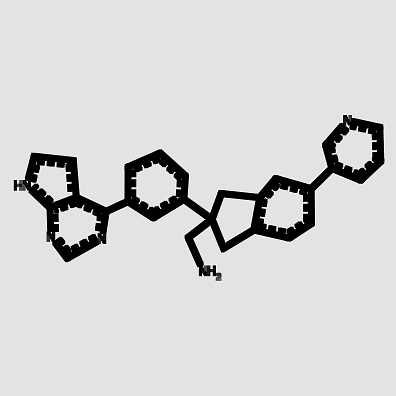 NCC1(c2cccc(-c3ncnc4[nH]ccc34)c2)Cc2ccc(-c3cccnc3)cc2C1